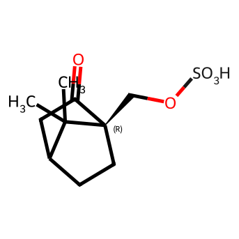 CC1(C)C2CC[C@@]1(COS(=O)(=O)O)C(=O)C2